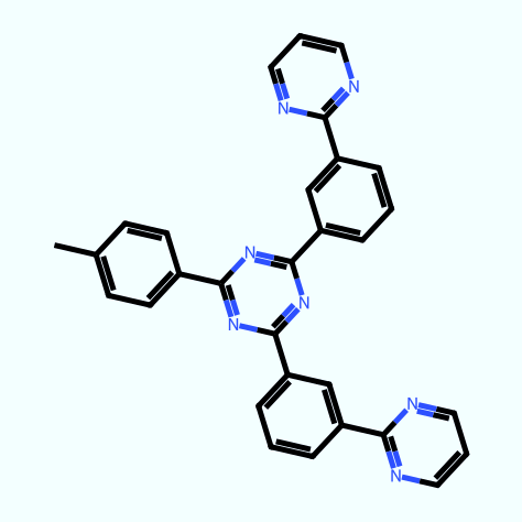 Cc1ccc(-c2nc(-c3cccc(-c4ncccn4)c3)nc(-c3cccc(-c4ncccn4)c3)n2)cc1